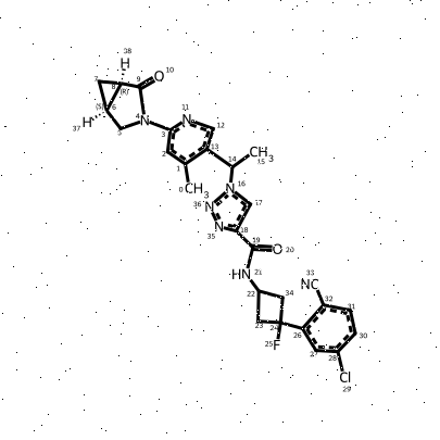 Cc1cc(N2C[C@H]3C[C@H]3C2=O)ncc1C(C)n1cc(C(=O)NC2CC(F)(c3cc(Cl)ccc3C#N)C2)nn1